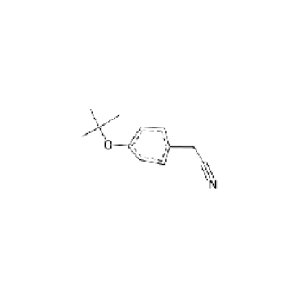 CC(C)(C)Oc1ccc(CC#N)cc1